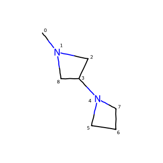 CN1CC(N2CCC2)C1